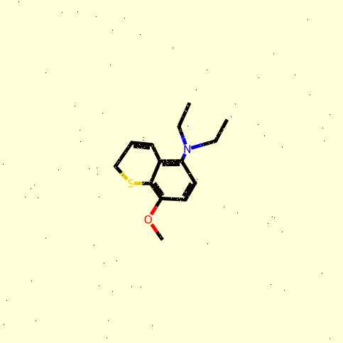 CCN(CC)c1ccc(OC)c2c1C=CCS2